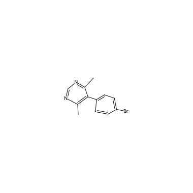 Cc1ncnc(C)c1-c1ccc(Br)cc1